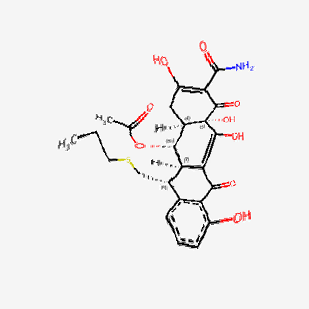 CCCSC[C@H]1c2cccc(O)c2C(=O)C2=C(O)[C@]3(O)C(=O)C(C(N)=O)=C(O)C[C@@H]3[C@@H](OC(C)=O)[C@@H]21